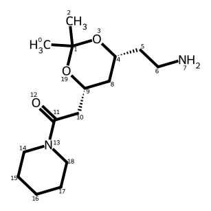 CC1(C)O[C@H](CCN)C[C@H](CC(=O)N2CCCCC2)O1